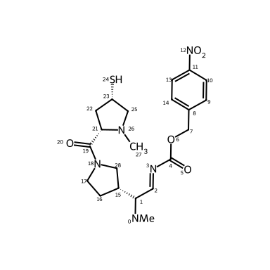 CNC(C=NC(=O)OCc1ccc([N+](=O)[O-])cc1)[C@@H]1CCN(C(=O)[C@@H]2C[C@H](S)CN2C)C1